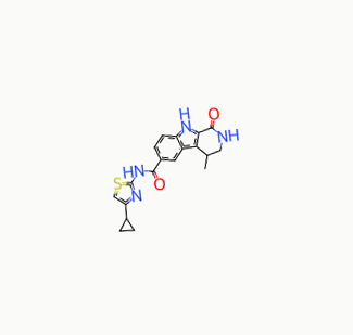 CC1CNC(=O)c2[nH]c3ccc(C(=O)Nc4nc(C5CC5)cs4)cc3c21